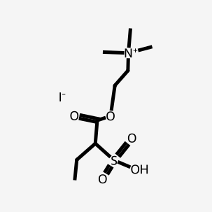 CCC(C(=O)OCC[N+](C)(C)C)S(=O)(=O)O.[I-]